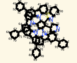 c1ccc(-c2ccc3c(c2)c2ccccc2n3-c2c(-c3ccncc3)c(-c3nc4ccccc4s3)c(-n3c4ccccc4c4cc(-c5ccccc5)ccc43)c(-n3c4ccccc4c4cc(-c5ccccc5)ccc43)c2-n2c3ccccc3c3cc(-c4ccccc4)ccc32)cc1